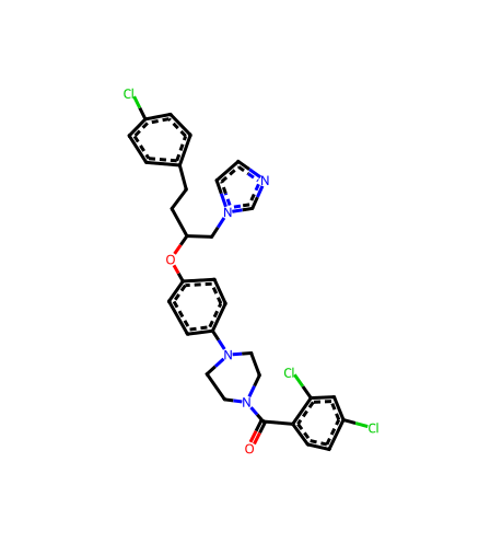 O=C(c1ccc(Cl)cc1Cl)N1CCN(c2ccc(OC(CCc3ccc(Cl)cc3)Cn3ccnc3)cc2)CC1